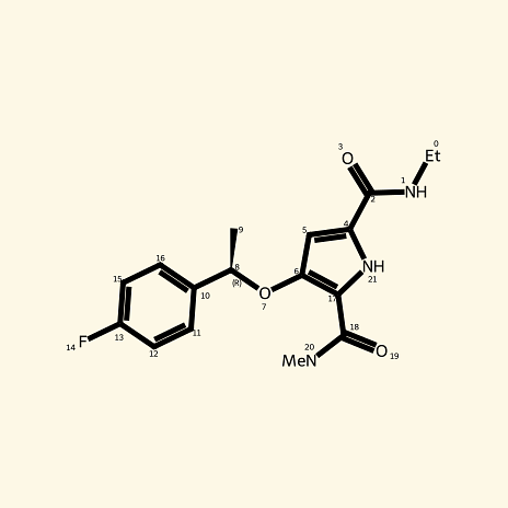 CCNC(=O)c1cc(O[C@H](C)c2ccc(F)cc2)c(C(=O)NC)[nH]1